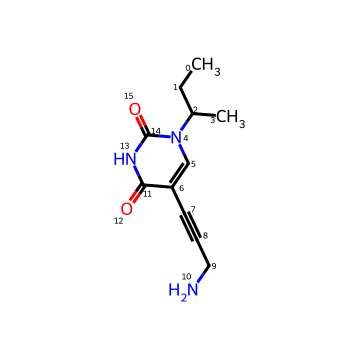 CCC(C)n1cc(C#CCN)c(=O)[nH]c1=O